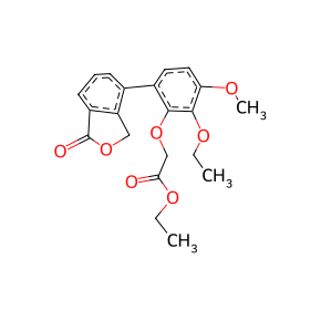 CCOC(=O)COc1c(-c2cccc3c2COC3=O)ccc(OC)c1OCC